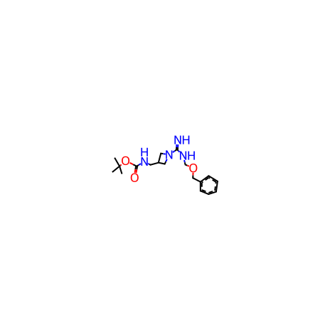 CC(C)(C)OC(=O)NCC1CN(C(=N)NCOCc2ccccc2)C1